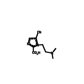 CN(C)CCn1c(C#N)cnc1C(=O)O